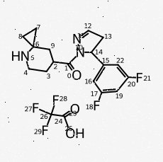 O=C(C1CCNC2(CC2)C1)N1N=CCC1c1cc(F)cc(F)c1.O=C(O)C(F)(F)F